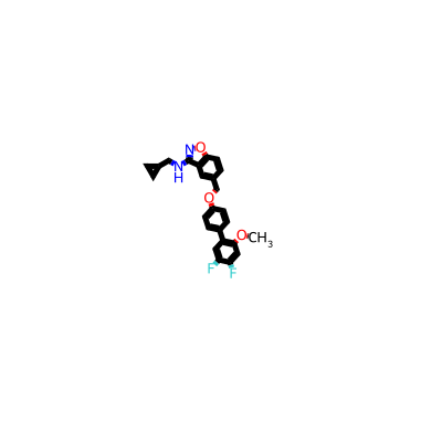 COc1cc(F)c(F)cc1-c1ccc(OCc2ccc3onc(NCC4CC4)c3c2)cc1